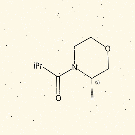 CC(C)C(=O)N1CCOC[C@@H]1C